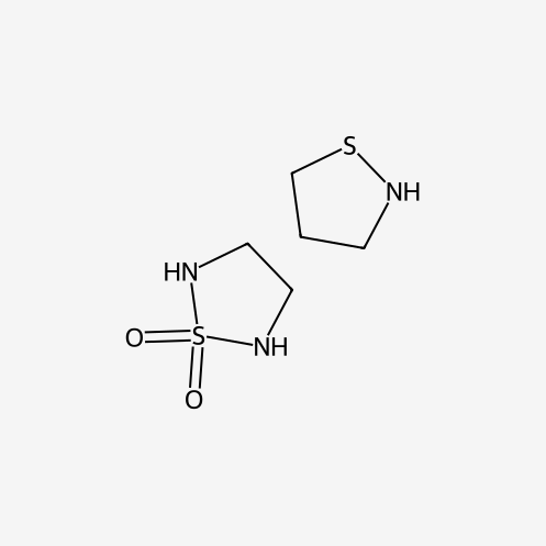 C1CNSC1.O=S1(=O)NCCN1